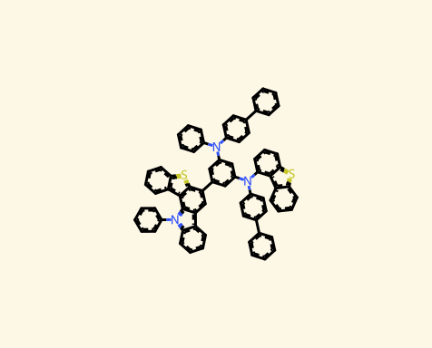 c1ccc(-c2ccc(N(c3ccccc3)c3cc(-c4cc5c6ccccc6n(-c6ccccc6)c5c5c4sc4ccccc45)cc(N(c4ccc(-c5ccccc5)cc4)c4cccc5sc6ccccc6c45)c3)cc2)cc1